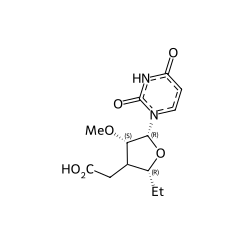 CC[C@H]1O[C@@H](n2ccc(=O)[nH]c2=O)[C@@H](OC)C1CC(=O)O